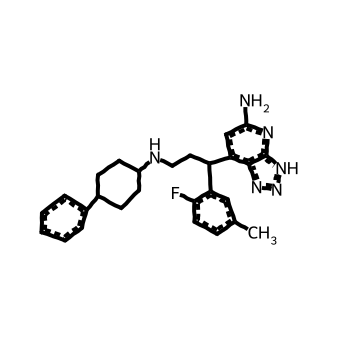 Cc1ccc(F)c(C(CCNC2CCC(c3ccccc3)CC2)c2cc(N)nc3[nH]nnc23)c1